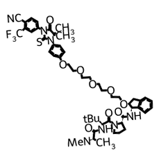 CN[C@@H](C)C(=O)N[C@H](C(=O)N1CCC[C@H]1C(=O)N[C@H]1c2ccccc2C[C@H]1OCCOCCOCCOCCOc1ccc(N2C(=S)N(c3ccc(C#N)c(C(F)(F)F)c3)C(=O)C2(C)C)cc1)C(C)(C)C